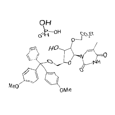 CCOC(=O)COC1C(O)[C@H](COC(c2ccccc2)(c2ccc(OC)cc2)c2ccc(OC)cc2)O[C@@H]1n1cc(C)c(=O)[nH]c1=O.O=[PH](O)O